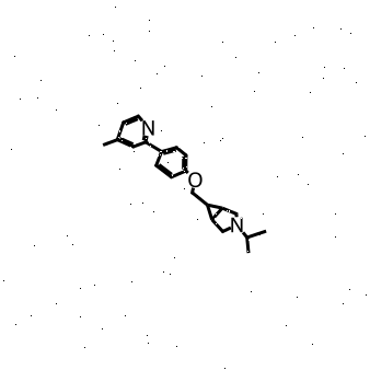 Cc1ccnc(-c2ccc(OCC3C4CN(C(C)C)CC34)cc2)c1